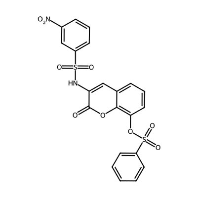 O=c1oc2c(OS(=O)(=O)c3ccccc3)cccc2cc1NS(=O)(=O)c1cccc([N+](=O)[O-])c1